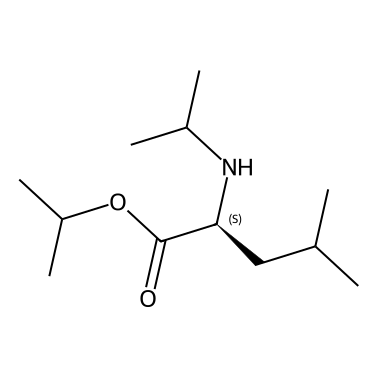 CC(C)C[C@H](NC(C)C)C(=O)OC(C)C